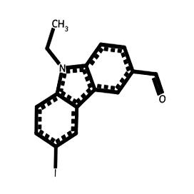 CCn1c2ccc(I)cc2c2cc(C=O)ccc21